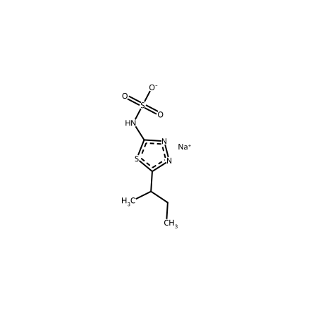 CCC(C)c1nnc(NS(=O)(=O)[O-])s1.[Na+]